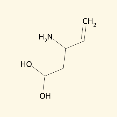 C=CC(N)CC(O)O